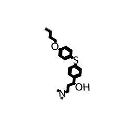 CCCCOc1ccc(Sc2ccc(C(O)CCN(C)C)cc2)cc1